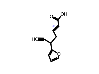 C#CC(C/C=C/C(=O)O)c1ccco1